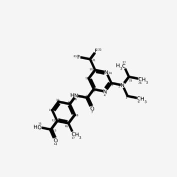 CCN(c1nc(C(=O)Nc2ccc(C(=O)O)c(C)c2)cc(C(F)F)n1)C(C)C